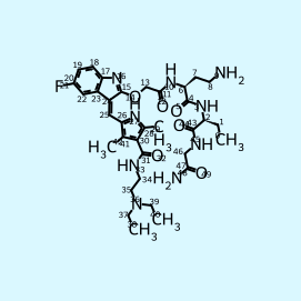 CC[C@H](NC(=O)[C@H](CCN)NC(=O)COC1=Nc2ccc(F)cc2/C1=C/c1[nH]c(C)c(C(=O)NCCN(CC)CC)c1C)C(=O)NCC(N)=O